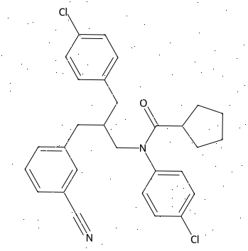 N#Cc1cccc(CC(Cc2ccc(Cl)cc2)CN(C(=O)C2CCCC2)c2ccc(Cl)cc2)c1